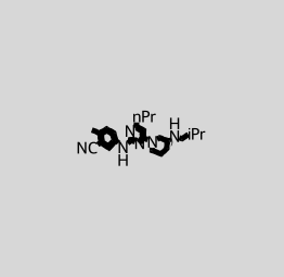 CCCc1cc(N2CCC[C@H](NCC(C)C)C2)nc(Nc2ccc(C)c(C#N)c2)n1